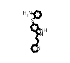 Nc1ccccc1Sc1ccc2c(C=Cc3ccccn3)n[nH]c2c1